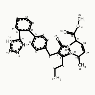 CCCc1c(Cc2ccc(-c3ccccc3-c3nnn[nH]3)cc2)c(=O)n2n1C(C)C=CC2C(=O)OC